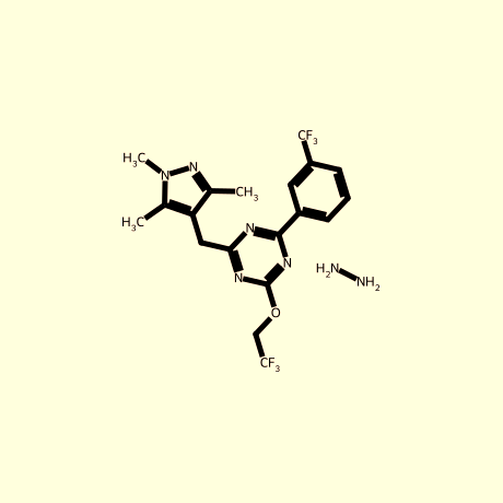 Cc1nn(C)c(C)c1Cc1nc(OCC(F)(F)F)nc(-c2cccc(C(F)(F)F)c2)n1.NN